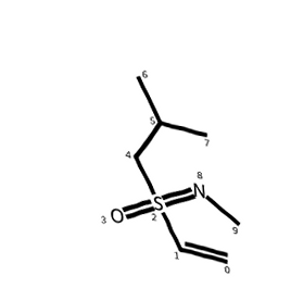 C=CS(=O)(CC(C)C)=NC